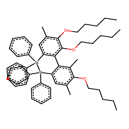 CCCCCOc1c(C)cc2c(c1C)-c1c(cc(C)c(OCCCCC)c1OCCCCC)[Si](c1ccccc1)(c1ccccc1)[Si]2(c1ccccc1)c1ccccc1